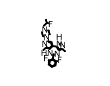 Cc1n[nH]c2c1N=C(c1c(F)cccc1F)Nc1c-2cc(N2CCN(CC(C)F)CC2)nc1C